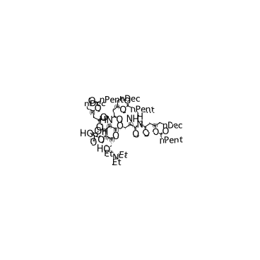 CCCCCCCCCCC[C@H](CC(=O)NC(=O)[C@@H](N)CO[C@@H]1O[C@H](CO)[C@@H](OP(=O)(O)O)[C@H](OC(=O)C[C@@H](CCCCCCCCCCC)OC(=O)CCCCC)[C@H]1NC(=O)C[C@@H](CCCCCCCCCCC)OC(=O)CCCCC)OC(=O)CCCCC.CCN(CC)CC